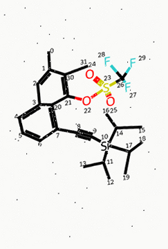 Cc1cc2cccc(C#C[Si](C(C)C)(C(C)C)C(C)C)c2c(OS(=O)(=O)C(F)(F)F)c1C